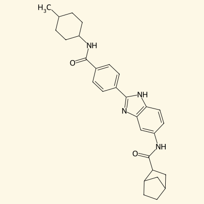 CC1CCC(NC(=O)c2ccc(-c3nc4cc(NC(=O)C5CC6CCC5C6)ccc4[nH]3)cc2)CC1